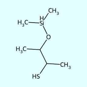 CC(S)C(C)O[SiH](C)C